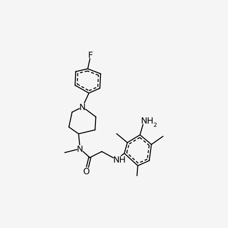 Cc1cc(C)c(NCC(=O)N(C)C2CCN(c3ccc(F)cc3)CC2)c(C)c1N